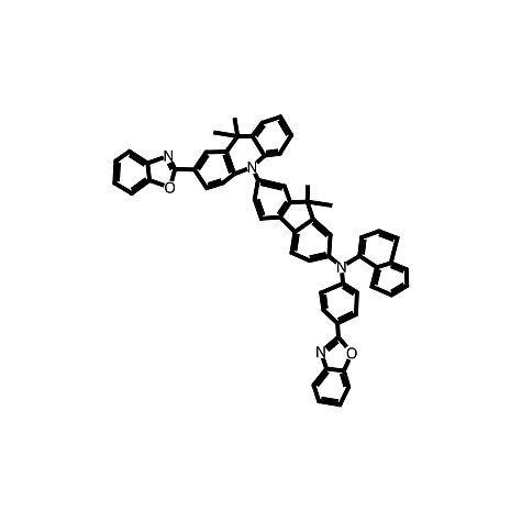 CC1(C)c2cc(N3c4ccccc4C(C)(C)c4cc(-c5nc6ccccc6o5)ccc43)ccc2-c2ccc(N(c3ccc(-c4nc5ccccc5o4)cc3)c3cccc4ccccc34)cc21